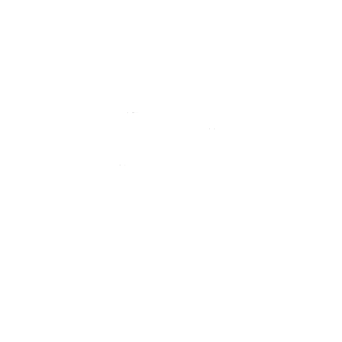 CCCCCCCCOc1ccccc1.CCO.OCCO